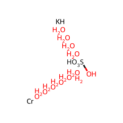 O.O.O.O.O.O.O.O.O.O.O=S(=O)(O)O.[Cr].[KH]